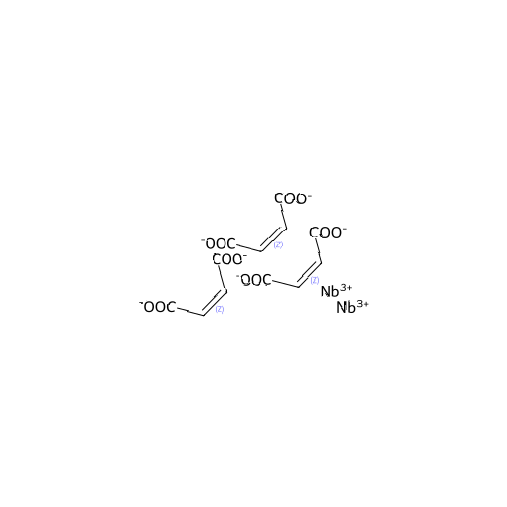 O=C([O-])/C=C\C(=O)[O-].O=C([O-])/C=C\C(=O)[O-].O=C([O-])/C=C\C(=O)[O-].[Nb+3].[Nb+3]